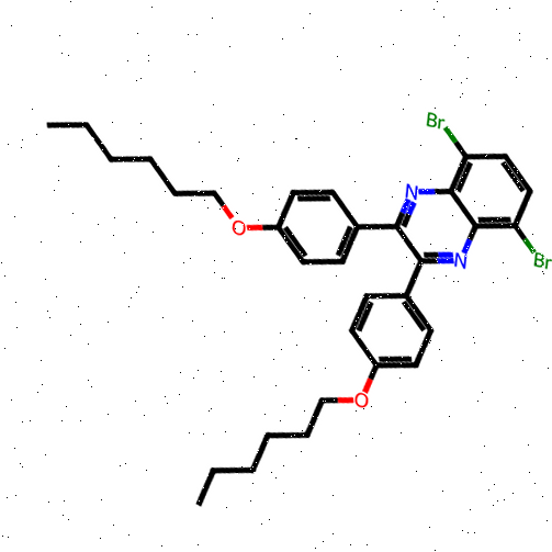 CCCCCCOc1ccc(-c2nc3c(Br)ccc(Br)c3nc2-c2ccc(OCCCCCC)cc2)cc1